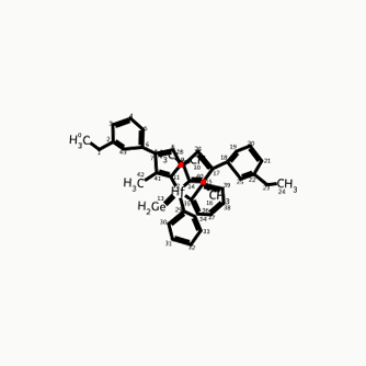 CCc1cccc(C2=CC(C)[C]([Hf](=[GeH2])([C]3=C(C)C(c4cccc(CC)c4)=CC3C)([c]3ccccc3)[c]3ccccc3)=C2C)c1